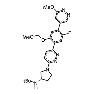 COCOc1cc(-c2cnnc(OC)c2)c(F)cc1-c1ccc(N2CC[C@H](NC(C)(C)C)C2)nn1